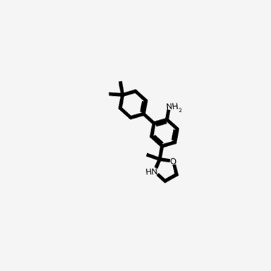 CC1(C)CC=C(c2cc(C3(C)NCCO3)ccc2N)CC1